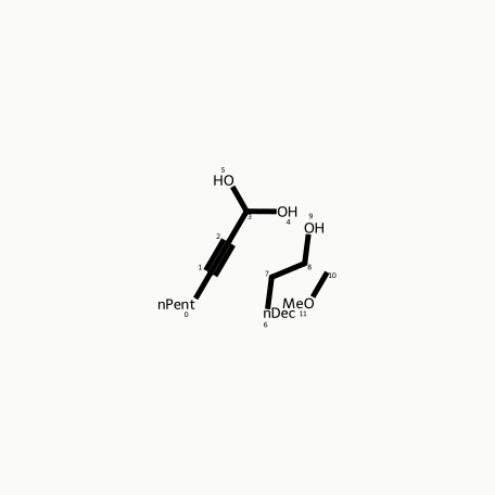 CCCCCC#CC(O)O.CCCCCCCCCCCCO.COC